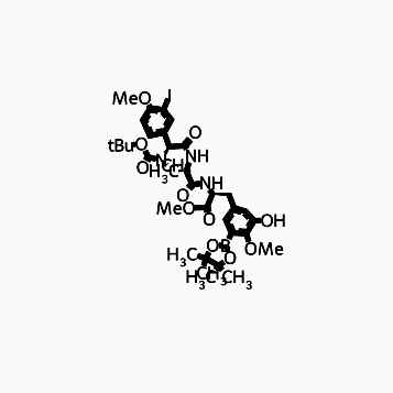 COC(=O)[C@H](Cc1cc(O)c(OC)c(B2OC(C)(C)C(C)(C)O2)c1)NC(=O)[C@H](C)NC(=O)[C@H](c1ccc(OC)c(I)c1)N(C)C(=O)OC(C)(C)C